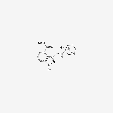 CCn1nc(CN[C@@H]2CN3CCC2CC3)c2c(C(=O)OC)cccc21